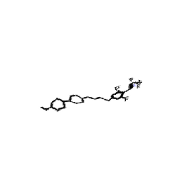 CCC1CCC(C2CCC(CCCCc3cc(F)c(/C=C/C(F)(F)F)c(F)c3)CC2)CC1